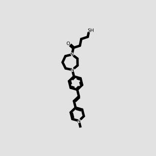 CN1C=CC(/C=C/c2ccc(N3CCCN(C(=O)CCCS)CC3)cc2)=CC1